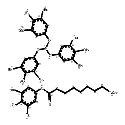 CC(C)(C)c1cc(OP(Oc2cc(C(C)(C)C)c(O)c(C(C)(C)C)c2)Oc2cc(C(C)(C)C)c(O)c(C(C)(C)C)c2)cc(C(C)(C)C)c1O.CCCCCCCCCCCCCCCCCC(=O)Oc1cc(C(C)(C)C)c(O)c(C(C)(C)C)c1